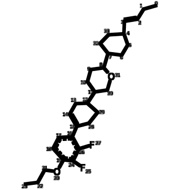 CC/C=C/C1CCC(C2CCC(C3CC=C(c4ccc(OCCC)c(F)c4F)CC3)CO2)CC1